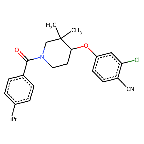 CC(C)c1ccc(C(=O)N2CCC(Oc3ccc(C#N)c(Cl)c3)C(C)(C)C2)cc1